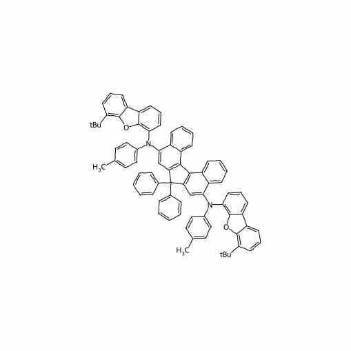 Cc1ccc(N(c2cc3c(c4ccccc24)-c2c(cc(N(c4ccc(C)cc4)c4cccc5c4oc4c(C(C)(C)C)cccc45)c4ccccc24)C3(c2ccccc2)c2ccccc2)c2cccc3c2oc2c(C(C)(C)C)cccc23)cc1